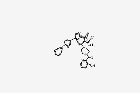 CC(=O)c1c(C2CCN(C(=O)c3ncccc3O)CC2)nc2c(-c3ccc(-c4ccccc4)nc3)cnn2c1N